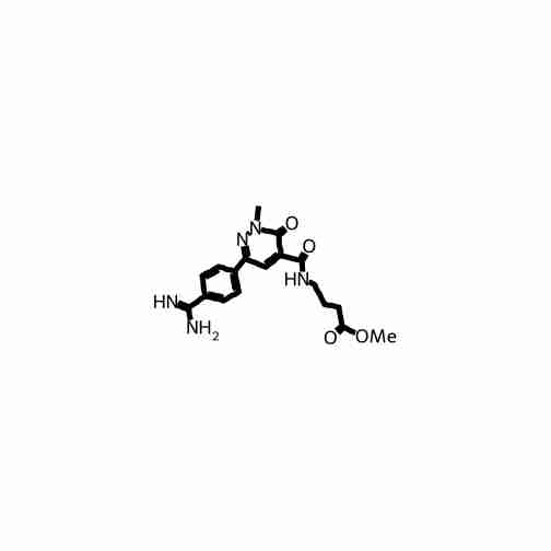 COC(=O)CCCNC(=O)c1cc(-c2ccc(C(=N)N)cc2)nn(C)c1=O